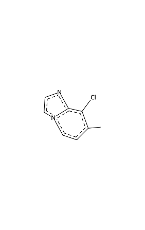 Cc1ccn2ccnc2c1Cl